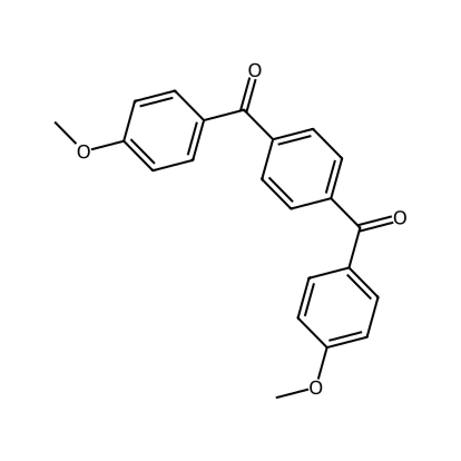 COc1ccc(C(=O)c2ccc(C(=O)c3ccc(OC)cc3)cc2)cc1